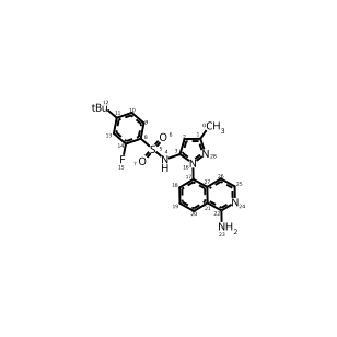 Cc1cc(NS(=O)(=O)c2ccc(C(C)(C)C)cc2F)n(-c2cccc3c(N)nccc23)n1